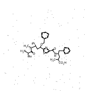 CCC(C)C(N)C(=O)N(C)C(CC(OCc1ccccc1)c1nc(C(=O)NC(Cc2ccccc2)CC(C)C(=O)O)cs1)C(C)C